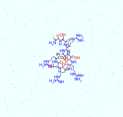 CC(C)[C@H](NC(=O)[C@H](CCCNC(=N)N)NC(=O)[C@H](CO)NC(=O)[C@H](C)N)C(=O)N[C@@H](CO)C(=O)N[C@@H](CCCNC(=N)N)C(=O)N[C@@H](CCCNC(=N)N)C(=O)N[C@@H](CO)C(=O)N[C@@H](CCCNC(=N)N)C(=O)O